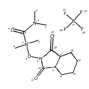 CN(C)C(=O)[N+](C)(C)ON1C(=O)C2CCCCC2C1=O.F[B-](F)(F)F